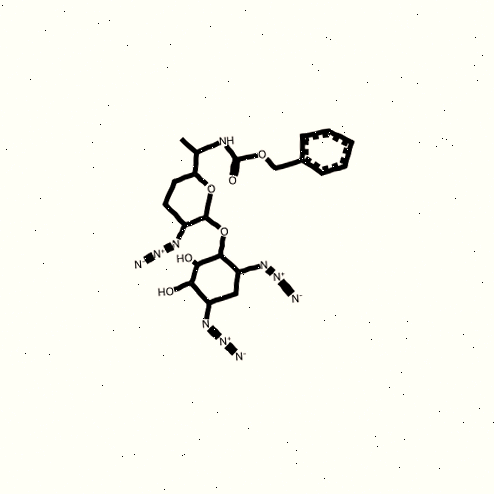 CC(NC(=O)OCc1ccccc1)C1CCC(N=[N+]=[N-])C(OC2C(N=[N+]=[N-])CC(N=[N+]=[N-])C(O)C2O)O1